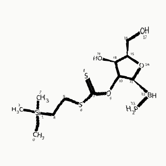 C[Si](C)(C)CCSC(=S)OC1[C@H](BP)O[C@H](CO)[C@@H]1O